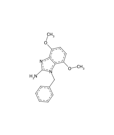 COc1ccc(OC)c2c1nc(N)n2Cc1ccccc1